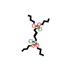 CCCCO[Si](Cl)(C/C=C/C[Si](Cl)(OCCCC)OCCCC)OCCCC